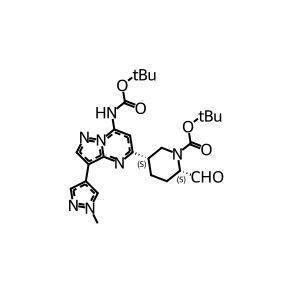 Cn1cc(-c2cnn3c(NC(=O)OC(C)(C)C)cc([C@H]4CC[C@@H](C=O)N(C(=O)OC(C)(C)C)C4)nc23)cn1